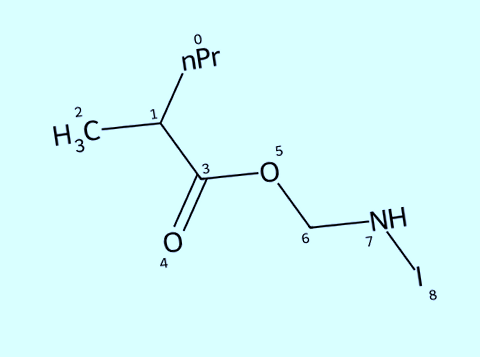 CCCC(C)C(=O)OCNI